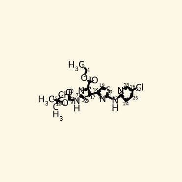 CCOC(=O)c1nc(NC(=O)OC(C)(C)C)sc1-c1csc(Nc2ccc(Cl)cn2)n1